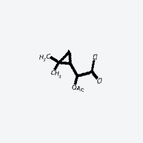 CC(=O)OC(C(Cl)Cl)C1CC1(C)C